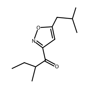 CCC(C)C(=O)c1cc(CC(C)C)on1